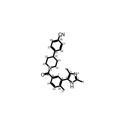 Cc1nc(C)c(-c2cc(C(=O)N3CCC(c4ccc(C#N)cc4)CC3)ccc2C)[nH]1